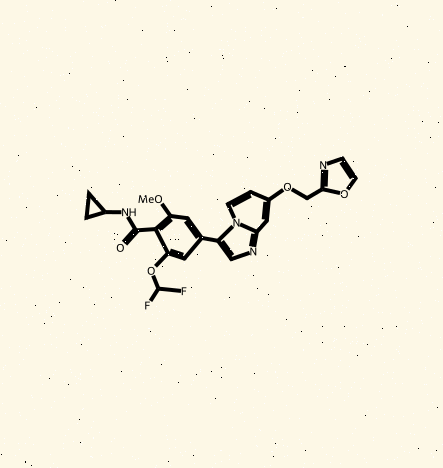 COc1cc(-c2cnc3cc(OCc4ncco4)ccn23)cc(OC(F)F)c1C(=O)NC1CC1